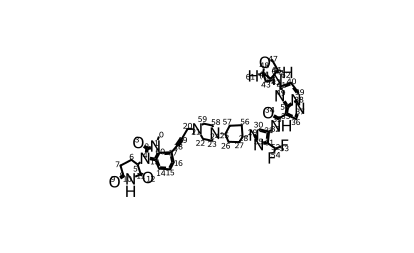 Cn1c(=O)n(C2CCC(=O)NC2=O)c2cccc(C#CCN3CCN([C@H]4CC[C@@H](n5cc(NC(=O)c6cnn7ccc(N8C[C@H]9C[C@@H]8CO9)nc67)c(C(F)F)n5)CC4)CC3)c21